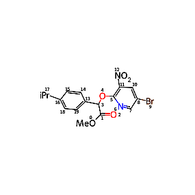 COC(=O)C(Oc1ncc(Br)cc1[N+](=O)[O-])c1ccc(C(C)C)cc1